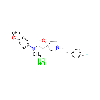 CCCCOc1ccc(N(C)CCC2(O)CCN(CCc3ccc(F)cc3)CC2)cc1.Cl.Cl